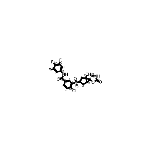 CC12CC(S(=O)(=O)c3cc(C(=O)Nc4cc(F)c(F)c(F)c4)ccc3Cl)CC1[C@@]21CNC(=O)O1